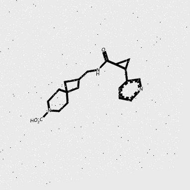 O=C(NCC1CC2(CCN(C(=O)O)CC2)C1)C1CC1c1cccnc1